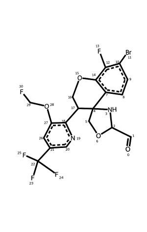 O=CC1NC2(CO1)c1ccc(Br)c(F)c1OCC2c1ncc(C(F)(F)F)cc1OCF